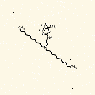 CCCCCCCCCCN(CCCCCCCCCC)CCNC(=O)OC(C)(C)C